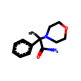 CCCC(C(N)=O)(c1ccccc1)N1CCOCC1